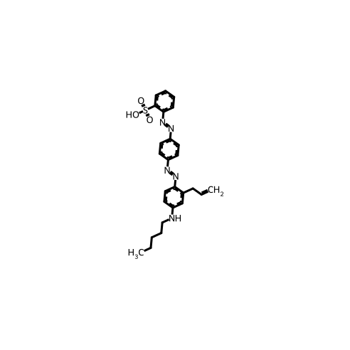 C=CCc1cc(NCCCCC)ccc1/N=N/c1ccc(/N=N/c2ccccc2S(=O)(=O)O)cc1